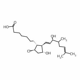 CC(C)=CCC(C)[C@H](O)C=C[C@@H]1[C@@H](CCCCCCC(=O)O)[C@H](Cl)C[C@H]1O